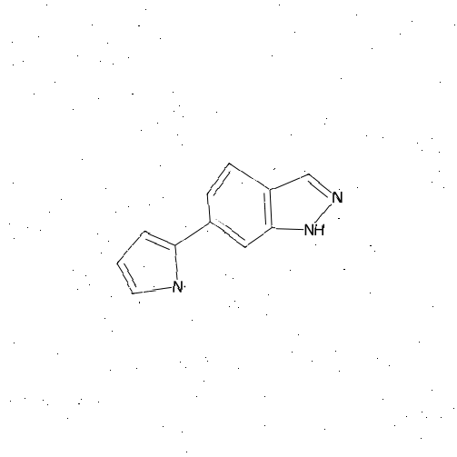 C1=C[N]C(c2ccc3cn[nH]c3c2)=C1